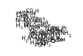 CC[C@H](C)[C@H](NC(=O)[C@@H](NC(=O)[C@@H]1C[C@@H](O)CN1C(=O)[C@@H](N)C(C)C)[C@@H](C)CC)C(=O)N[C@@H](Cc1ccc(O)cc1)C(=O)N[C@H](C(=O)N[C@@H](CC(N)=O)C(=O)N[C@@H](CCCNC(=N)N)C(=O)N[C@@H](CCCNC(=N)N)C(=O)N[C@@H](CO)C(=O)N[C@H](CCN)C(=O)N[C@H](C(=O)N[C@@H](CS)C(=O)O)C(C)C)C(C)(C)S